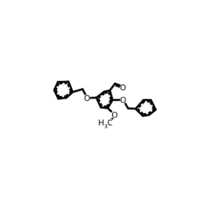 COc1cc(OCc2ccccc2)cc(C=O)c1OCc1ccccc1